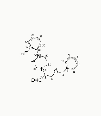 O=CC(COCc1ccccc1)N1CCN(c2ccccc2F)CC1